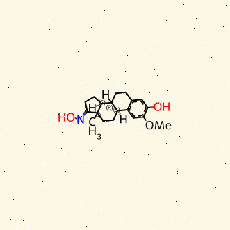 COc1cc2c(cc1O)CC[C@@H]1[C@@H]2CC[C@]2(C)C(=NO)CC[C@@H]12